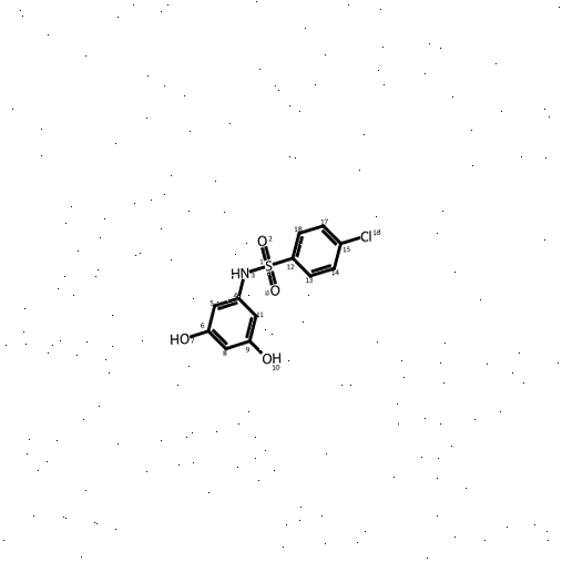 O=S(=O)(Nc1cc(O)cc(O)c1)c1ccc(Cl)cc1